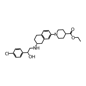 CCOC(=O)C1CCN(c2ccc3c(c2)C[C@@H](NC[C@@H](O)c2ccc(Cl)cc2)CC3)CC1